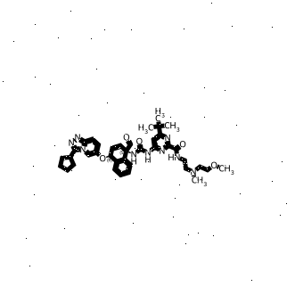 COCCN(C)CCNC(=O)c1nc(NC(=O)N[C@@]2(C=O)C=C[C@@H](Oc3ccc4nnc(C5CCCC5)n4c3)c3ccccc32)cc(C(C)(C)C)n1